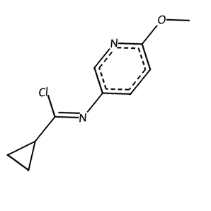 COc1ccc(/N=C(\Cl)C2CC2)cn1